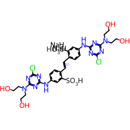 O=S(=O)(O)c1cc(Nc2nc(Cl)nc(N(CCO)CCO)n2)ccc1/C=C/c1ccc(Nc2nc(Cl)nc(N(CCO)CCO)n2)cc1S(=O)(=O)O.[NaH].[NaH]